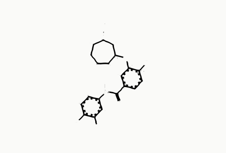 O=C(Nc1ccc(F)c(Cl)c1)c1ccc(F)c(SC2CCCC[C@H](Cl)C2)c1